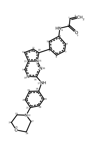 C=CC(=O)Nc1cccc(-c2ccc3cnc(Nc4ccc(N5CCOCC5)cc4)nn23)c1